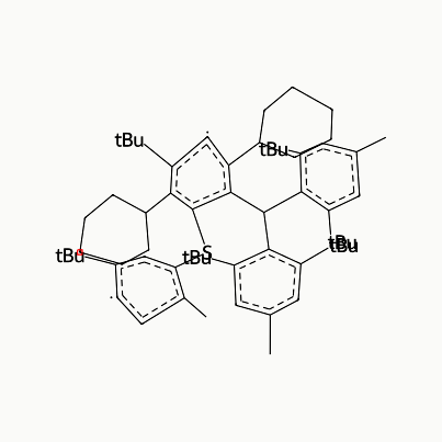 Cc1cc(C(C)(C)C)c(C(c2c(C(C)(C)C)cc(C)cc2C(C)(C)C)c2c(C3CCCCC3)[c]c(C(C)(C)C)c(C3CCCCC3)c2Sc2cc(C(C)(C)C)[c]cc2C)c(C(C)(C)C)c1